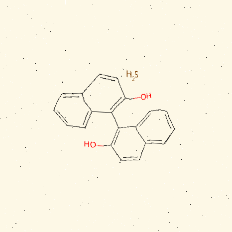 Oc1ccc2ccccc2c1-c1c(O)ccc2ccccc12.S